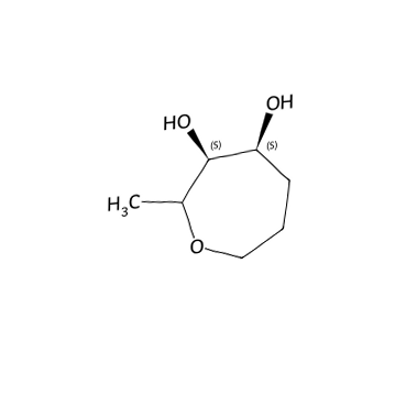 CC1OCCC[C@H](O)[C@@H]1O